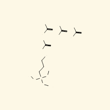 CC(=O)O.CC(=O)O.CC(=O)O.CC(=O)O.CO[Si](CCCN)(OC)OC